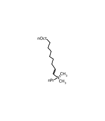 CCCCCCCCCCCCCCC=C[N+](C)(C)CCC